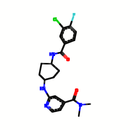 CN(C)C(=O)c1ccnc(NC2CCC(NC(=O)c3ccc(F)c(Cl)c3)CC2)c1